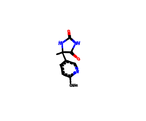 COc1ccc(C2(C)NC(=O)NC2=O)cn1